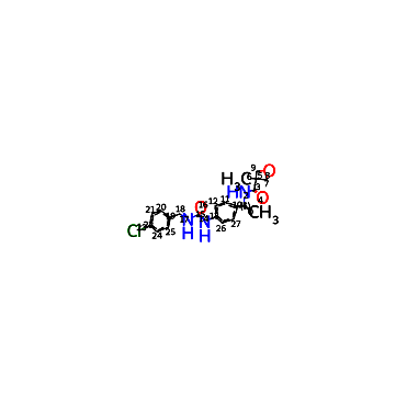 C[C@H](NC(=O)C1(C)COC1)c1ccc(NC(=O)NCc2ccc(Cl)cc2)cc1